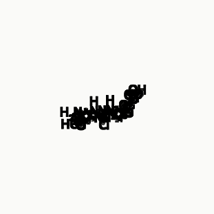 Nc1cc(Nc2nc(Cl)nc(Nc3cccc(S(=O)(=O)CCOS(=O)(=O)O)c3)n2)ccc1S(=O)(=O)O